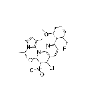 COc1cccc(F)c1-c1nc2c(cc1F)c(Cl)c([N+](=O)[O-])c(=O)n2-c1c(C)cnn1C(C)C